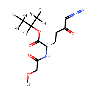 [2H]C([2H])([2H])C([2H])(OC(=O)[C@H](CCC(=O)C=[N+]=[N-])NC(=O)COCC)C([2H])([2H])[2H]